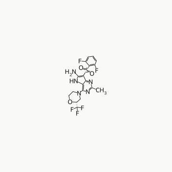 Cc1nc(N2CCO[C@@H](C(F)(F)F)C2)c2[nH]c(N)c(S(=O)(=O)c3c(F)cccc3F)c2n1